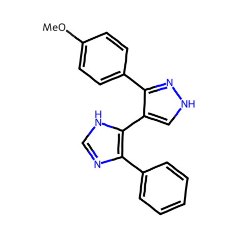 COc1ccc(-c2n[nH]cc2-c2[nH]cnc2-c2ccccc2)cc1